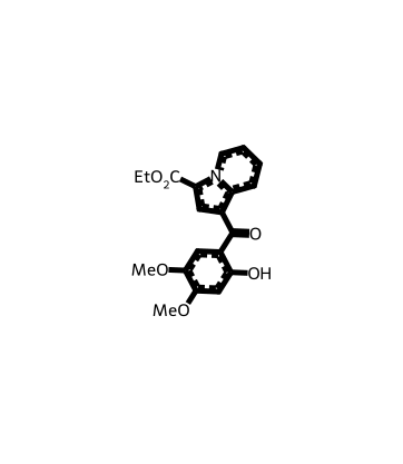 CCOC(=O)c1cc(C(=O)c2cc(OC)c(OC)cc2O)c2ccccn12